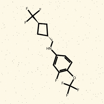 Fc1cc(NC[C@H]2C[C@H](C(F)(F)F)C2)ccc1OC(F)(F)F